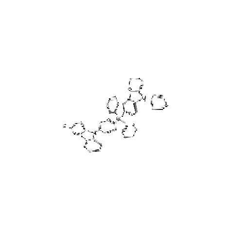 Fc1ccc2c(c1)c1ccccc1n2-c1ccc([Si](c2ccccc2)(c2ccccc2)c2ccc3c(c2)c2ccccc2n3-c2ccccc2)cc1